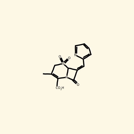 CC1=C(C(=O)O)N2C(=O)/C(=C/c3ccccn3)C2S(=O)(=O)C1